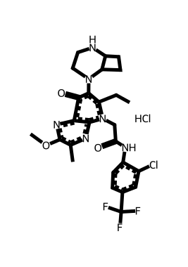 CCc1c(N2CCNC3CCC32)c(=O)c2nc(OC)c(C)nc2n1CC(=O)Nc1ccc(C(F)(F)F)cc1Cl.Cl